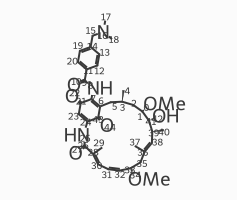 CO[C@H]1C[C@H](C)CC2=C(NC(=O)c3ccc(CN(C)C)cc3)C(=O)C=C(NC(=O)/C(C)=C/C=C\[C@H](OC)C/C(C)=C/[C@H](C)[C@H]1O)C2=O